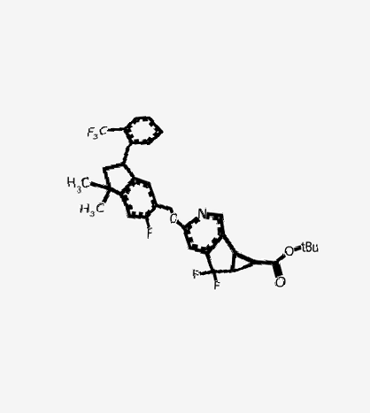 CC(C)(C)OC(=O)C1C2c3cnc(OCc4cc5c(cc4F)C(C)(C)CC5c4ccccc4C(F)(F)F)cc3C(F)(F)C12